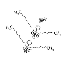 CCCCCCCCCCCC(CCCCCCCCC)(c1ccccc1)P(=O)([O-])[O-].CCCCCCCCCCCC(CCCCCCCCC)(c1ccccc1)P(=O)([O-])[O-].[Ba+2].[Ba+2]